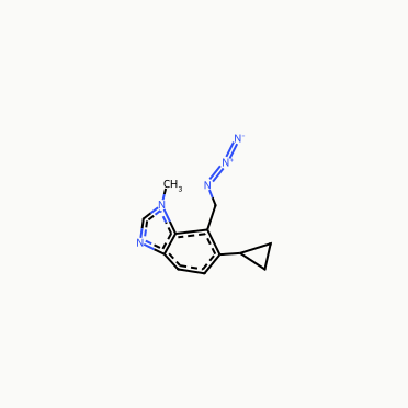 Cn1cnc2ccc(C3CC3)c(CN=[N+]=[N-])c21